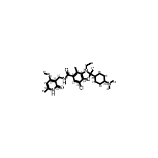 CCN1c2c(C)c(C(=O)NCc3c(SC)cc(C)[nH]c3=O)cc(Cl)c2OC1(C)C1CCC(N(C)C)CC1